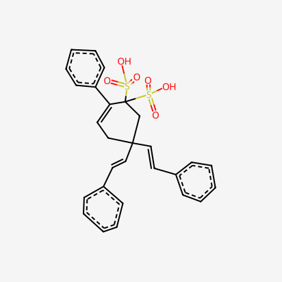 O=S(=O)(O)C1(S(=O)(=O)O)CC(C=Cc2ccccc2)(C=Cc2ccccc2)CC=C1c1ccccc1